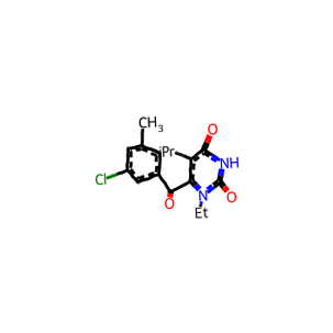 CCn1c(C(=O)c2cc(C)cc(Cl)c2)c(C(C)C)c(=O)[nH]c1=O